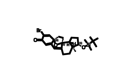 CC(C)(C)[Si](C)(C)O[C@H]1CC[C@@H]2[C@]1(C)CCC1=CC3=CC(=O)C(Br)=C[C@]34CC[C@@]12O4